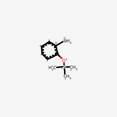 C[Si](C)(C)Oc1ccccc1[SiH3]